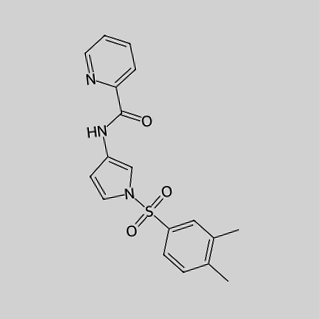 Cc1ccc(S(=O)(=O)n2ccc(NC(=O)c3ccccn3)c2)cc1C